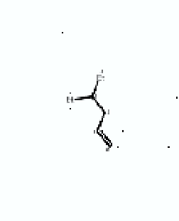 C=CCC(CC)CC